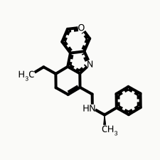 CCC1CC=C(CN[C@H](C)c2ccccc2)c2nc3coccc-3c21